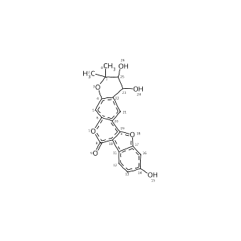 CC1(C)Oc2cc3oc(=O)c4c5ccc(O)cc5oc4c3cc2C(O)C1O